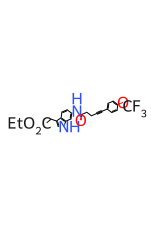 CCOC(=O)Cc1c[nH]c2cc(NC(=O)CCC#Cc3ccc(OC(F)(F)F)cc3)ccc12